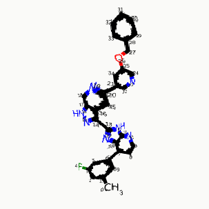 Cc1cc(F)cc(-c2ccnc3[nH]c(-c4n[nH]c5cnc(-c6cncc(OCc7ccccc7)c6)cc45)nc23)c1